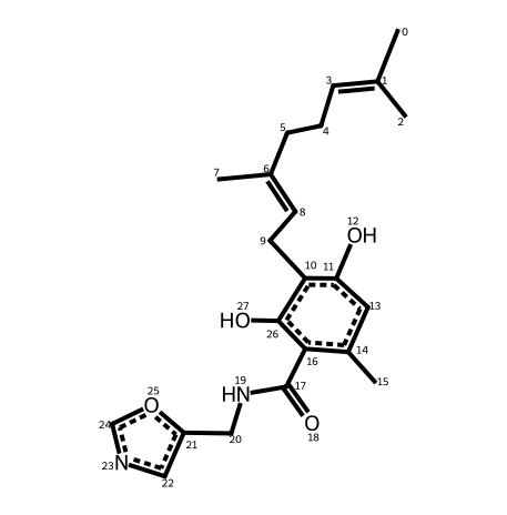 CC(C)=CCC/C(C)=C/Cc1c(O)cc(C)c(C(=O)NCc2cnco2)c1O